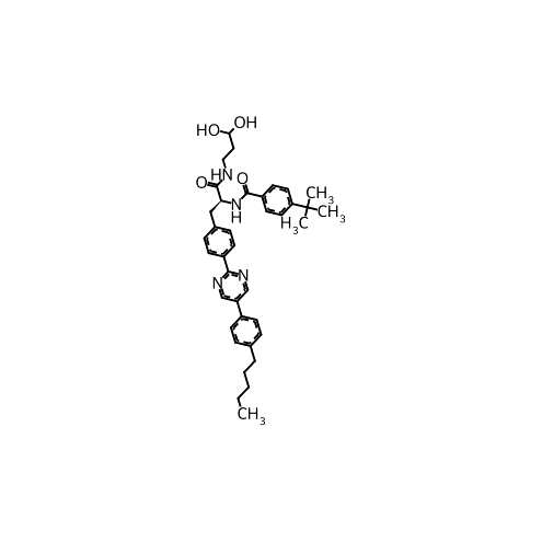 CCCCCc1ccc(-c2cnc(-c3ccc(C[C@H](NC(=O)c4ccc(C(C)(C)C)cc4)C(=O)NCCC(O)O)cc3)nc2)cc1